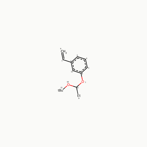 C=Cc1cccc(OC(CC)OC(C)(C)C)c1